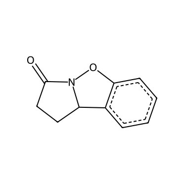 O=C1CCC2c3ccccc3ON12